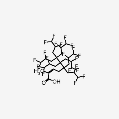 CC(=CCC(CC(F)C(F)F)(CC(F)C(F)F)C(CC(F)C(F)F)(CC(F)C(F)F)C(CC(F)C(F)F)(CC(F)C(F)F)CC(F)C(F)F)C(=O)O